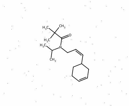 CC(C)N(C/C=C\C1CC=CCC1)C(=O)C(C)(C)C